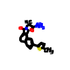 C=C(CN1Cc2c(ccc3ccc(-c4ccc(C)s4)cc23)C1=O)C(N)=O